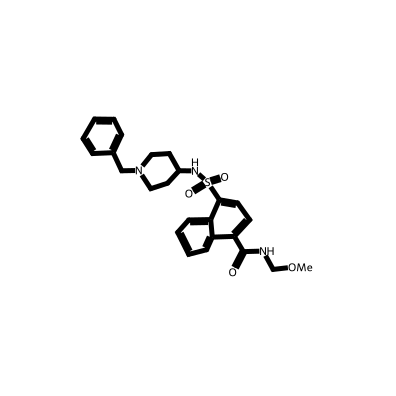 COCNC(=O)c1ccc(S(=O)(=O)NC2CCN(Cc3ccccc3)CC2)c2ccccc12